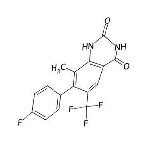 Cc1c(-c2ccc(F)cc2)c(C(F)(F)F)cc2c(=O)[nH]c(=O)[nH]c12